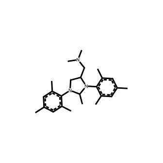 Cc1cc(C)c(N2CC(CN(C)C)N(c3c(C)cc(C)cc3C)C2C)c(C)c1